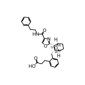 O=C(O)CCc1ccccc1C[C@@H]1[C@H](c2nc(C(=O)NCCc3ccccc3)co2)[C@H]2CC[C@@H]1O2